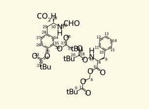 CC(C)(C)C(=O)OCOC(=O)[C@H](Cc1ccccc1)NOC(=O)C(C)(C)C.CC(C)(C)C(=O)Oc1ccc(C[C@H](NC=O)C(=O)O)cc1OC(=O)C(C)(C)C